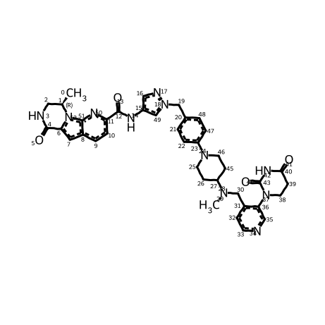 C[C@@H]1CNC(=O)c2cc3ccc(C(=O)Nc4cnn(Cc5ccc(N6CCC(N(C)Cc7ccncc7N7CCC(=O)NC7=O)CC6)cc5)c4)nc3n21